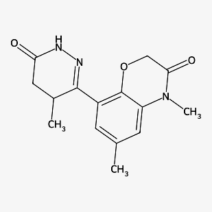 Cc1cc(C2=NNC(=O)CC2C)c2c(c1)N(C)C(=O)CO2